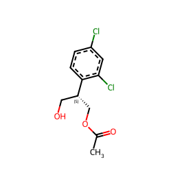 CC(=O)OC[C@H](CO)c1ccc(Cl)cc1Cl